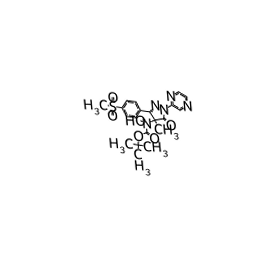 CC(C)(C)OC(=O)N(O)C1(C)C(=O)N(c2cnccn2)N=C1c1ccc(S(C)(=O)=O)cc1